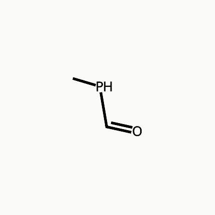 CPC=O